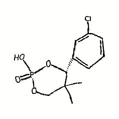 CC1(C)COP(=O)(O)O[C@@H]1c1cccc(Cl)c1